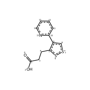 O=C(O)CCc1s[s+]cc1-c1ccccn1